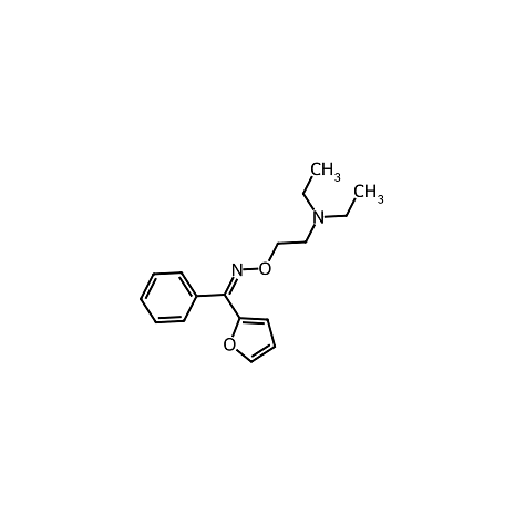 CCN(CC)CCON=C(c1ccccc1)c1ccco1